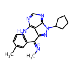 C/N=C(\c1cccc(C)c1)c1nn(C2CCCC2)c2ncnc(N)c12